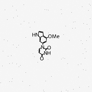 COc1cc(-n2ccc(=O)[nH]c2=O)cc2[nH]ccc12